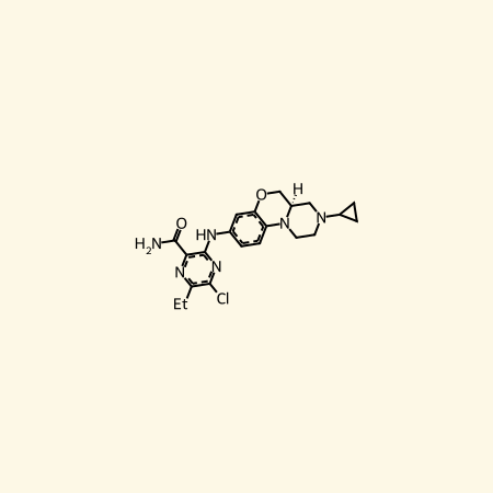 CCc1nc(C(N)=O)c(Nc2ccc3c(c2)OC[C@H]2CN(C4CC4)CCN32)nc1Cl